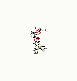 C=C(C)C(=O)OC1C2CC3CC(C2)C(C(=O)Oc2ccc([S+](c4ccccc4)c4ccccc4)cc2)C1C3